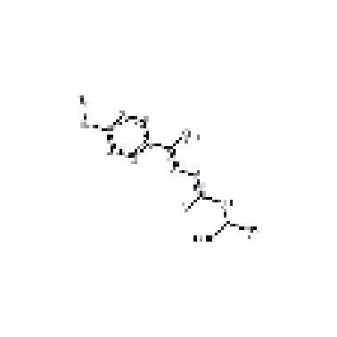 CCCC(C=O)N/C(=C/C=C(\C)c1ccc(NCC)cc1)CC